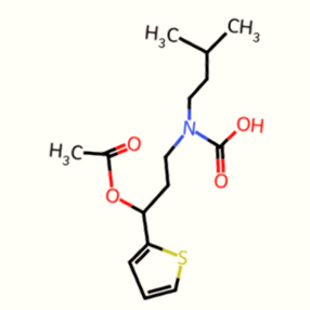 CC(=O)OC(CCN(CCC(C)C)C(=O)O)c1cccs1